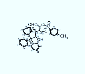 Cc1ccc(S(=O)(=O)O[C@@H](C=O)[C@@H](O)[C@@H](O)C(O)C(c2ccccc2)(c2ccccc2)c2ccccc2)cc1